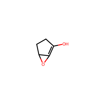 OC1=C2OC2CC1